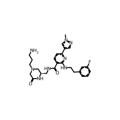 Cn1cc(-c2ccc(C(=O)NC[C@@H]3CN(CCCN)CC(=O)N3)c(NCCc3cccc(F)c3)n2)cn1